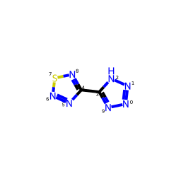 n1n[nH]c(-c2nnsn2)n1